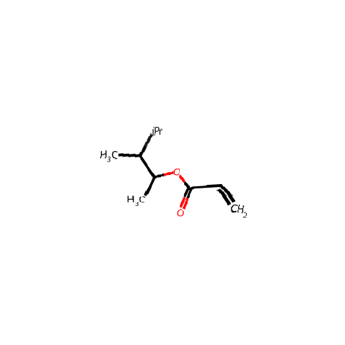 C=CC(=O)OC(C)C(C)C(C)C